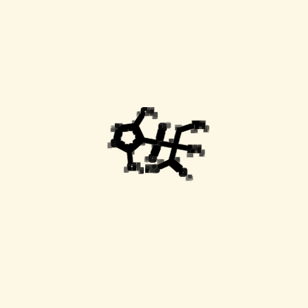 Cc1noc(C)c1S(=O)(=O)C(N)(CN)C(=O)O